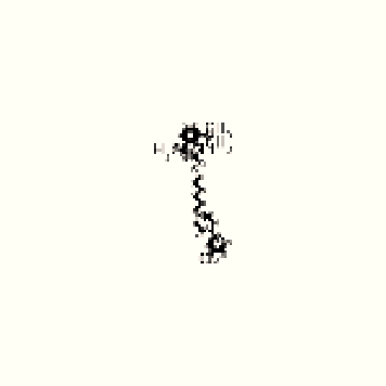 CC(C)c1cccc(C(C)C)c1NC(=O)CSCCCCCCN1CCN(c2cc(Cl)ccn2)CC1